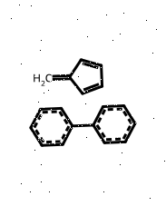 C=C1C=CC=C1.c1ccc(-c2ccccc2)cc1